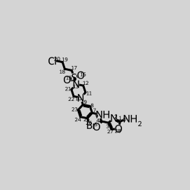 Nc1nc(C(=O)Nc2cc(N3CCN(S(=O)(=O)CCCCl)CC3)ccc2Br)co1